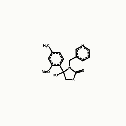 COc1cc(C)ccc1C1(O)CSC(=S)N1Cc1cccnc1